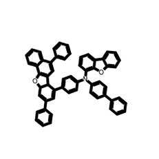 C1=C(c2ccccc2)C=C(c2ccc(N(c3ccc(-c4ccccc4)cc3)c3cccc4c3oc3ccccc34)cc2)C2c3cc(-c4ccccc4)c4ccccc4c3OC12